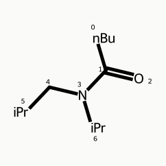 [CH2]CCCC(=O)N(CC(C)C)C(C)C